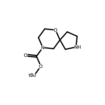 CC(C)(C)OC(=O)N1CCOC2(CCNC2)C1